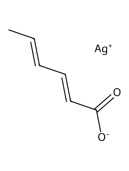 C/C=C/C=C/C(=O)[O-].[Ag+]